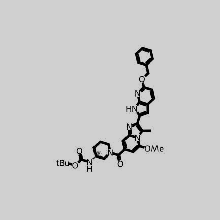 COc1cc(C(=O)N2CCC[C@@H](NC(=O)OC(C)(C)C)C2)cc2nc(-c3cc4ccc(OCc5ccccc5)nc4[nH]3)c(C)n12